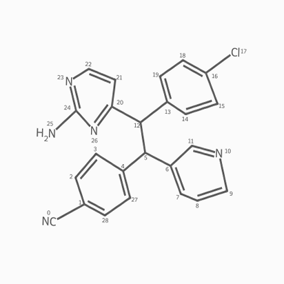 N#Cc1ccc(C(c2cccnc2)C(c2ccc(Cl)cc2)c2ccnc(N)n2)cc1